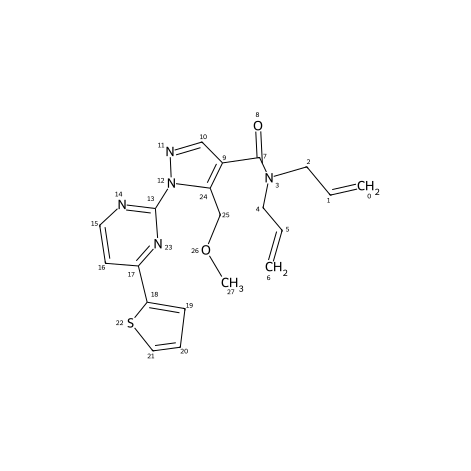 C=CCN(CC=C)C(=O)c1cnn(-c2nccc(-c3cccs3)n2)c1COC